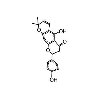 CC1(C)C=Cc2c(cc3c(c2O)C(=O)CC(c2ccc(O)cc2)O3)O1